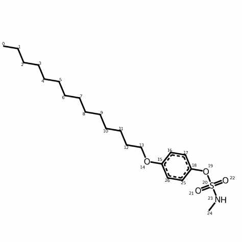 CCCCCCCCCCCCCCOc1ccc(OS(=O)(=O)NC)cc1